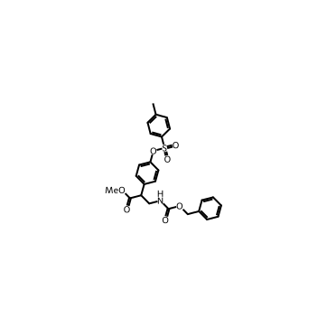 COC(=O)C(CNC(=O)OCc1ccccc1)c1ccc(OS(=O)(=O)c2ccc(C)cc2)cc1